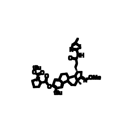 CO/N=C1\C[C@@H](CCC(=O)Nc2ncc(C)s2)C2C3CCc4cc(OC(=O)C5CCCN5C(=O)OC(C)(C)C)c(C(C)(C)C)cc4C3CC[C@]12C